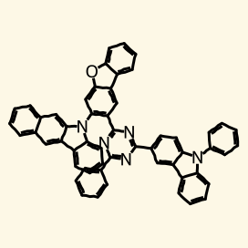 c1ccc(-c2nc(-c3ccc4c(c3)c3ccccc3n4-c3ccccc3)nc(-c3cc4c(cc3-n3c5ccccc5c5cc6ccccc6cc53)oc3ccccc34)n2)cc1